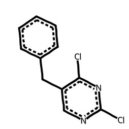 Clc1ncc(Cc2ccccc2)c(Cl)n1